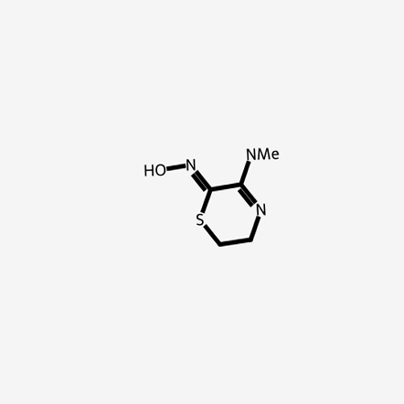 CNC1=NCCSC1=NO